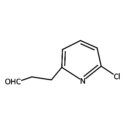 O=CCCc1cccc(Cl)n1